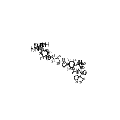 CCC(OC)C(=O)Nc1scnc1-c1ccc(OCCCCCOc2ccc(C(=N)NO)cc2)cc1